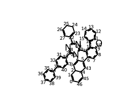 C1=CC2C=CC(c3ccc4oc5ccccc5c4c3-c3nc(C4=CCCC=C4)nc(-c4ccc(-c5ccccc5)cc4)n3)=CC2C=C1